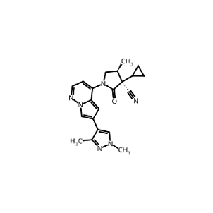 Cc1nn(C)cc1-c1cc2c(N3C[C@@H](C)[C@@](C#N)(C4CC4)C3=O)ccnn2c1